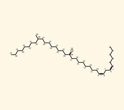 CCCCC/C=C\C/C=C\CCCCCCCCC(=O)CCCCCCCCC(C)CCCCCCCC